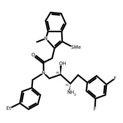 CCc1cccc(CN(C[C@@H](O)[C@@H](N)Cc2cc(F)cc(F)c2)C(=O)Cc2c(SC)c3ccccc3n2C)c1